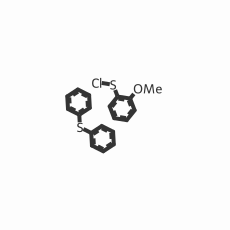 COc1ccccc1SCl.c1ccc(Sc2ccccc2)cc1